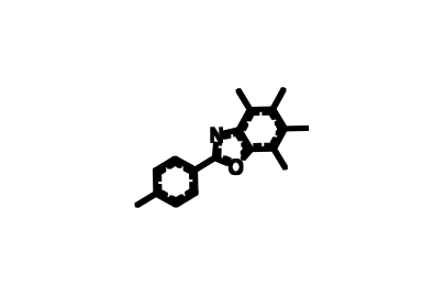 Cc1ccc(-c2nc3c(C)c(C)c(C)c(C)c3o2)cc1